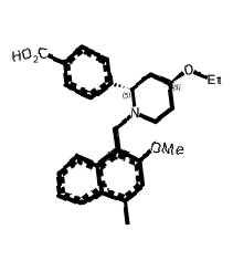 CCO[C@H]1CCN(Cc2c(OC)cc(C)c3ccccc23)[C@H](c2ccc(C(=O)O)cc2)C1